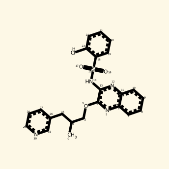 CC(COc1nc2ccccc2nc1NS(=O)(=O)c1ccccc1Cl)Cc1cccnc1